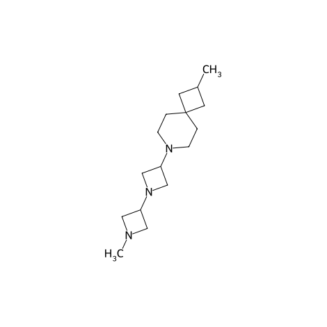 CC1CC2(CCN(C3CN(C4CN(C)C4)C3)CC2)C1